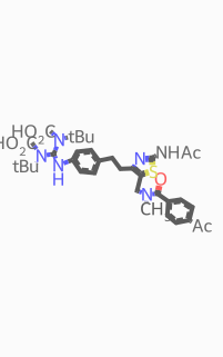 CC(=O)Nc1nc(CCc2ccc(NC(N(C(=O)O)C(C)(C)C)N(C(=O)O)C(C)(C)C)cc2)c(CN(C)C(=O)c2ccc(C(C)=O)cc2)s1